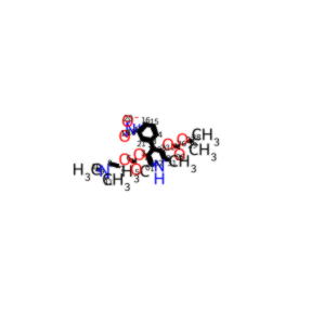 CC1=C(OC(=O)OCCN(C)C)C(c2cccc([N+](=O)[O-])c2)C(OC(=O)OC(C)C)=C(C)N1